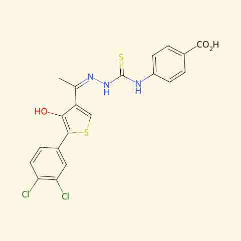 CC(=NNC(=S)Nc1ccc(C(=O)O)cc1)c1csc(-c2ccc(Cl)c(Cl)c2)c1O